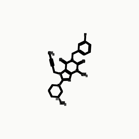 CC#CCn1c(N2CCC[C@@H](N)C2)nc2c1c(=O)n(Cc1cccc(F)c1)c(=O)n2C